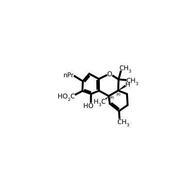 CCCc1cc2c(c(O)c1C(=O)O)[C@]1(C)C=C(C)CC[C@H]1C(C)(C)O2